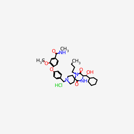 CCCCN1C(=O)[C@@H]([C@H](O)C2CCCCC2)NC(=O)C12CCN(Cc1ccc(Oc3ccc(C(=O)NC)cc3OC)cc1)CC2.Cl